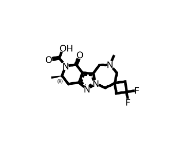 C[C@@H]1Cc2nn3c(c2C(=O)N1C(=O)O)CN(C)CC1(C3)CC(F)(F)C1